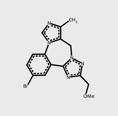 COCc1nc2n(n1)Cc1c(C)ncn1-c1ccc(Br)cc1-2